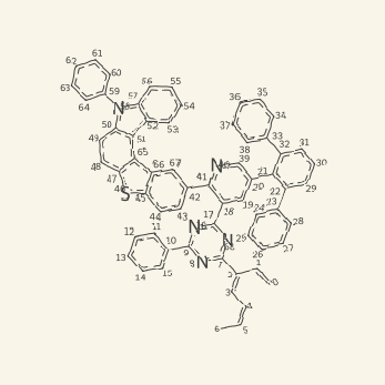 C=C/C(=C\C=C/C)c1nc(-c2ccccc2)nc(-c2cc(-c3c(-c4ccccc4)cccc3-c3ccccc3)cnc2-c2ccc3sc4ccc5c(c6ccccc6n5-c5ccccc5)c4c3c2)n1